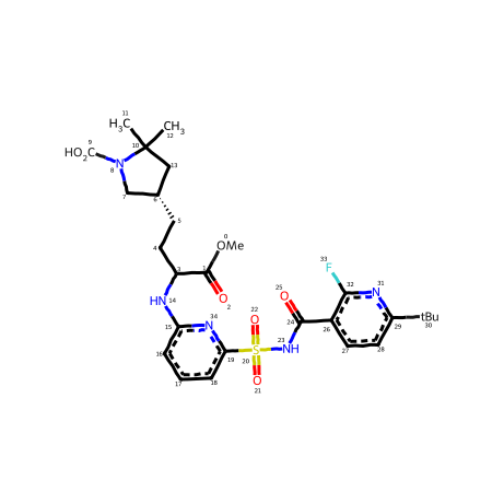 COC(=O)C(CC[C@@H]1CN(C(=O)O)C(C)(C)C1)Nc1cccc(S(=O)(=O)NC(=O)c2ccc(C(C)(C)C)nc2F)n1